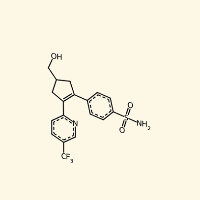 NS(=O)(=O)c1ccc(C2=C(c3ccc(C(F)(F)F)cn3)CC(CO)C2)cc1